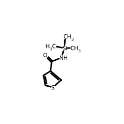 C[Si](C)(C)NC(=O)c1ccsc1